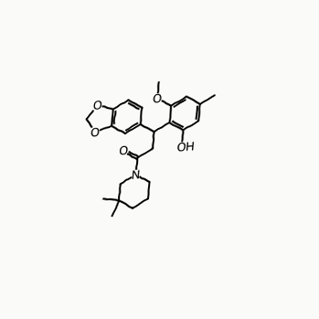 COc1cc(C)cc(O)c1C(CC(=O)N1CCCC(C)(C)C1)c1ccc2c(c1)OCO2